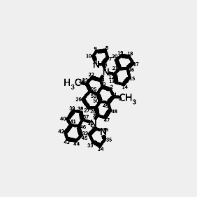 Cc1cc2c(N(c3ccccn3)c3cccc4ccccc34)cc(C)c3ccc4c(N(c5ccccn5)c5cccc6ccccc56)ccc1c4c32